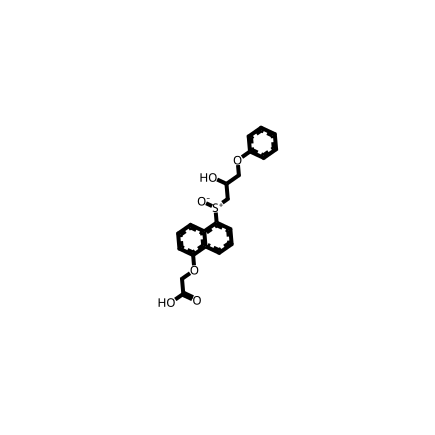 O=C(O)COc1cccc2c([S+]([O-])CC(O)COc3ccccc3)cccc12